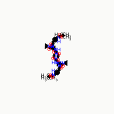 CC(C)(C)OC(=O)NCc1ccc(CCC(=O)N2CC(NC(=O)CN3CCC(=O)N(CC(=O)NC4CC(C(=O)NC5CC5)N(C(=O)CCc5ccc(CNC(=O)OC(C)(C)C)cc5)C4)CCC3=O)CC2C(=O)NC2CC2)cc1